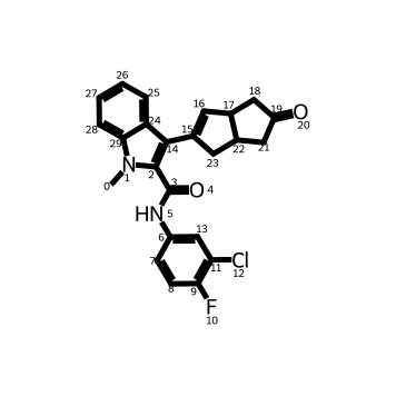 Cn1c(C(=O)Nc2ccc(F)c(Cl)c2)c(C2=CC3CC(=O)CC3C2)c2ccccc21